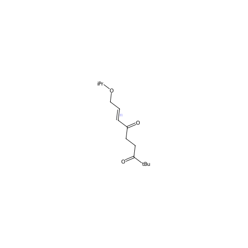 CC(C)OC/C=C/C(=O)CCC(=O)C(C)(C)C